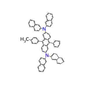 Cc1ccc(-c2c3ccc(N(C4=CCC5C=CC=CC5=C4)c4ccc5ccccc5c4)cc3c(-c3ccccc3)c3ccc(N(c4ccc5ccccc5c4)c4ccc5ccccc5c4)cc23)cc1